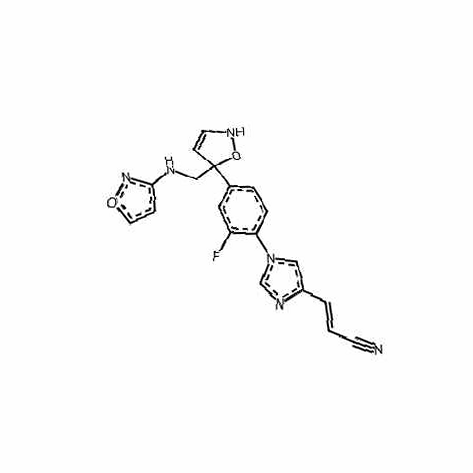 N#CC=Cc1cn(-c2ccc(C3(CNc4ccon4)C=CNO3)cc2F)cn1